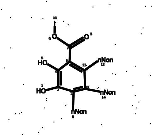 CCCCCCCCCc1c(O)c(O)c(C(=O)OI)c(CCCCCCCCC)c1CCCCCCCCC